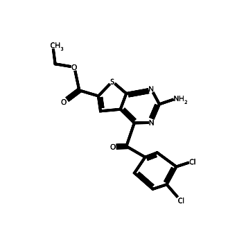 CCOC(=O)c1cc2c(C(=O)c3ccc(Cl)c(Cl)c3)nc(N)nc2s1